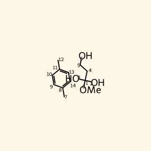 COC(O)(O)CCO.Cc1ccc(C)cc1